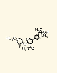 CC(C)(O)Cn1cc(-c2cnc(O[C@H]3CCN(C(=O)O)C[C@H]3F)c(C(N)=O)c2)cn1